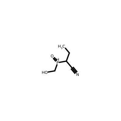 CCC(C#N)[PH](=O)CO